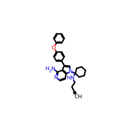 C#CCCNC1(n2cc(-c3ccc(Oc4ccccc4)cc3)c3c(N)nccc32)CCCCC1